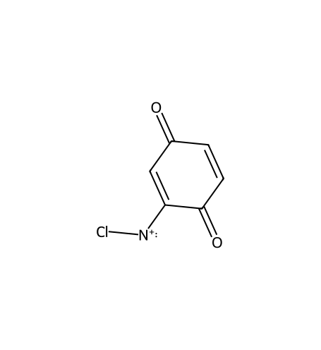 O=C1C=CC(=O)C([N+]Cl)=C1